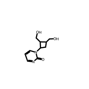 O=c1ncccn1C1CC(CO)C1CO